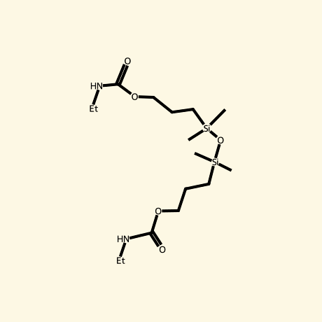 CCNC(=O)OCCC[Si](C)(C)O[Si](C)(C)CCCOC(=O)NCC